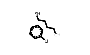 Clc1ccccc1.OCCCCS